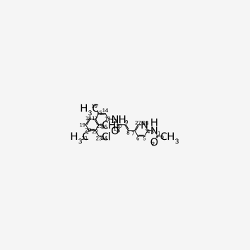 CC(=O)Nc1ccc(C=CC(=O)NCC=C(C)c2ccc(C)c(CCl)c2C)cn1